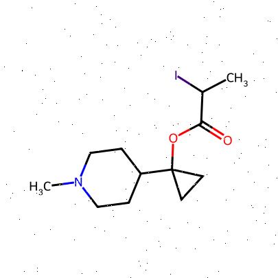 CC(I)C(=O)OC1(C2CCN(C)CC2)CC1